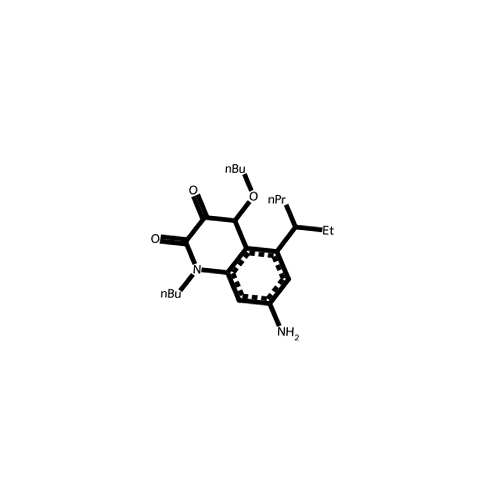 CCCCOC1C(=O)C(=O)N(CCCC)c2cc(N)cc(C(CC)CCC)c21